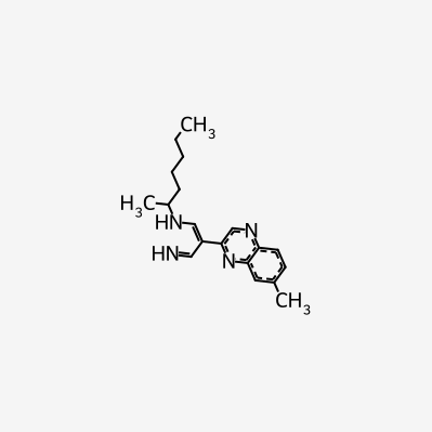 CCCCCC(C)N/C=C(\C=N)c1cnc2ccc(C)cc2n1